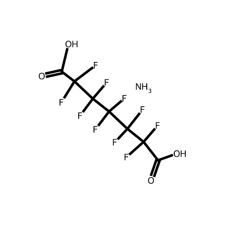 N.O=C(O)C(F)(F)C(F)(F)C(F)(F)C(F)(F)C(F)(F)C(=O)O